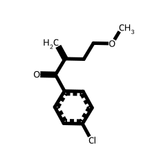 C=C(CCOC)C(=O)c1ccc(Cl)cc1